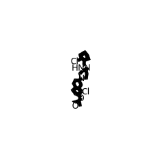 Clc1ccccc1-c1nc2c([nH]1)CN(C1CCc3ccc(OC4COC4)c(Cl)c3C1)CC2